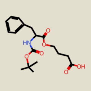 CC(C)(C)OC(=O)NC(Cc1ccccc1)C(=O)OCCCC(=O)O